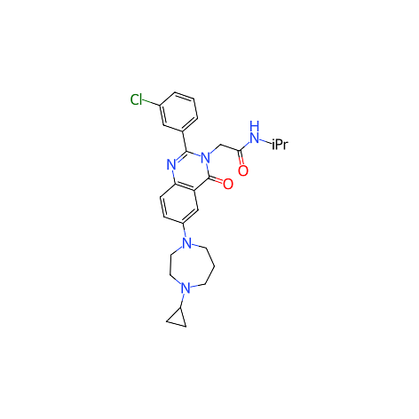 CC(C)NC(=O)Cn1c(-c2cccc(Cl)c2)nc2ccc(N3CCCN(C4CC4)CC3)cc2c1=O